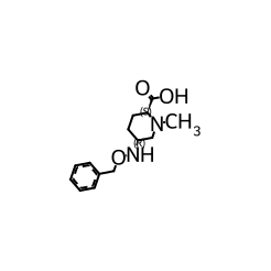 CN1C[C@H](NOCc2ccccc2)CC[C@H]1C(=O)O